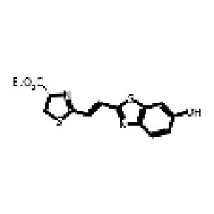 CCOC(=O)[C@H]1CSC(/C=C/c2nc3ccc(O)cc3s2)=N1